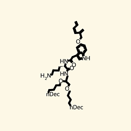 C=C/C=C\C(=C)COc1ccc2[nH]cc(CC(=O)N[C@@H](CCCCN)C(=O)NCC(COCCCCCCCCCCCCCC)OCCCCCCCCCCCCCC)c2c1